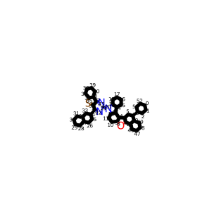 c1ccc(-c2cc3c(oc4ccc5c(c6ccccc6n5-c5nc(-c6ccc7ccccc7c6)c6sc7ccccc7c6n5)c43)c3ccccc23)cc1